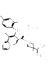 CC(=O)O.CC(N)C1(O)CN(C(=O)c2cn3ccnc3c(Cl)c2Nc2ccc(I)cc2F)C1